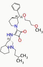 COCCCO[C@@H](c1ccccc1)[C@@H]1CCCN(c2c(N[C@H](CNCCC(C)C)CC3CCCCC3)c(=O)c2=O)C1